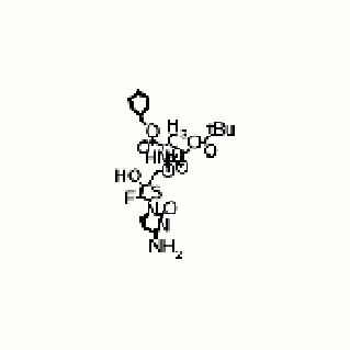 C[C@H](NP(=O)(OCOC(=O)C(C)(C)C)OC[C@H]1S[C@@H](n2ccc(N)nc2=O)[C@@H](F)[C@@H]1O)C(=O)OCc1ccccc1